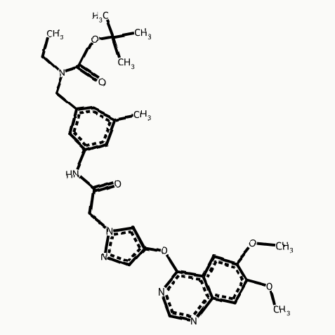 CCN(Cc1cc(C)cc(NC(=O)Cn2cc(Oc3ncnc4cc(OC)c(OC)cc34)cn2)c1)C(=O)OC(C)(C)C